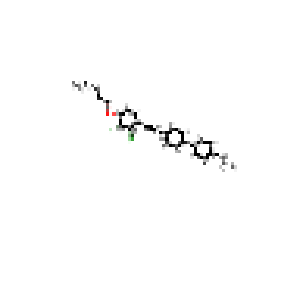 CCCCOc1ccc(C#Cc2ccc(-c3ccc(CC)cc3)cc2)c(F)c1F